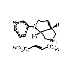 O=C(O)/C=C/C(=O)O.c1cncc(N2CC[C@@H]3CNC[C@@H]32)c1